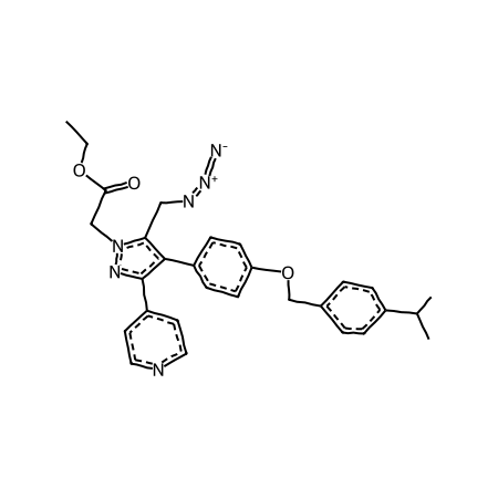 CCOC(=O)Cn1nc(-c2ccncc2)c(-c2ccc(OCc3ccc(C(C)C)cc3)cc2)c1CN=[N+]=[N-]